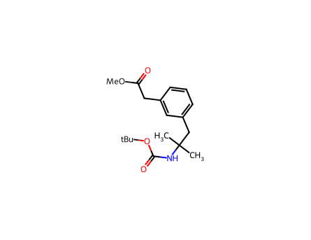 COC(=O)Cc1cccc(CC(C)(C)NC(=O)OC(C)(C)C)c1